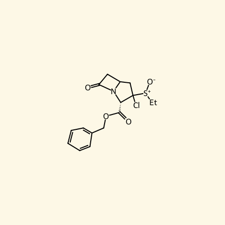 CC[S+]([O-])C1(Cl)CC2CC(=O)N2[C@H]1C(=O)OCc1ccccc1